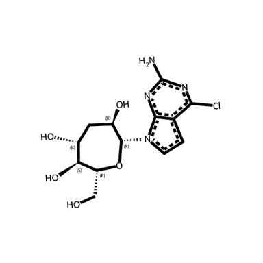 Nc1nc(Cl)c2ccn([C@@H]3O[C@H](CO)[C@@H](O)[C@H](O)C[C@H]3O)c2n1